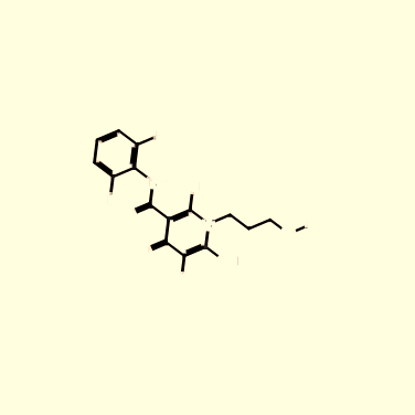 CCOCCCn1c(C)c(Br)c(=O)c(C(=O)Nc2c(CC)cccc2CC)c1C